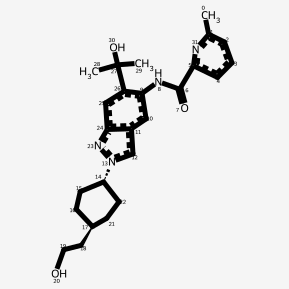 Cc1cccc(C(=O)Nc2cc3cn([C@H]4CC[C@H](CCO)CC4)nc3cc2C(C)(C)O)n1